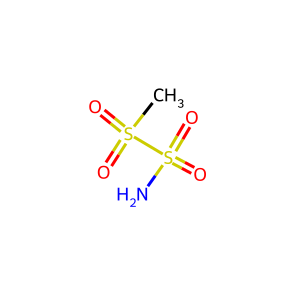 CS(=O)(=O)S(N)(=O)=O